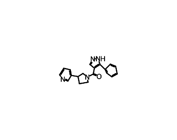 O=C(c1cn[nH]c1-c1ccccc1)N1CCC(c2cccnc2)C1